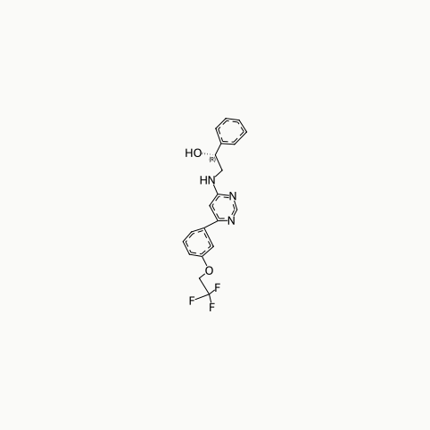 O[C@@H](CNc1cc(-c2cccc(OCC(F)(F)F)c2)ncn1)c1ccccc1